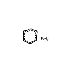 [PbH2].c1ccnnc1